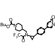 Cn1cc(-c2ccc(C3CC3N(CC3CCN(C(=O)OC(C)(C)C)CC3)C(=O)C(F)(F)F)cc2)cn1